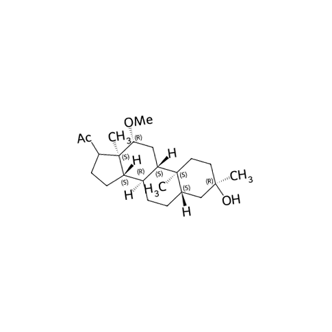 CO[C@@H]1C[C@H]2[C@@H](CC[C@H]3C[C@](C)(O)CC[C@@]32C)[C@@H]2CCC(C(C)=O)[C@@]12C